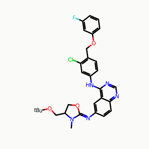 CN1C(=Nc2ccc3ncnc(Nc4ccc(COc5cccc(F)c5)c(Cl)c4)c3c2)OCC1COC(C)(C)C